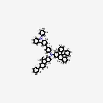 CC1(C)c2cc(-c3ccccc3)ccc2-c2ccc(N(c3ccc(-c4ccc5c(c4)c4ccccc4n5-c4ccccc4)cc3)c3ccc4c(c3)Cc3ccccc3C4(c3ccccc3)c3ccccc3)cc21